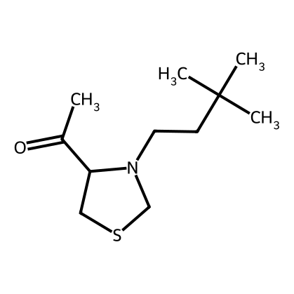 CC(=O)C1CSCN1CCC(C)(C)C